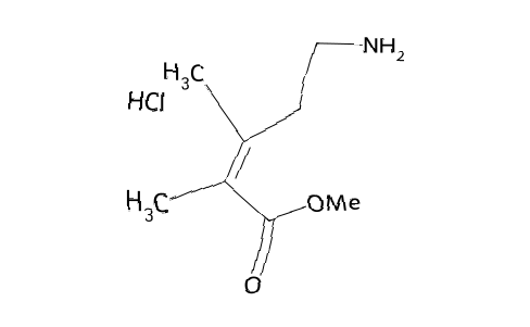 COC(=O)C(C)=C(C)CCN.Cl